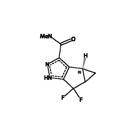 CNC(=O)c1n[nH]c2c1[C@H]1CC1C2(F)F